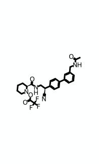 CC(=O)NCc1cccc(-c2ccc([C@@H](C#N)CNC(=O)[C@@H]3CCCCN3OC(=O)C(F)(F)F)cc2)c1